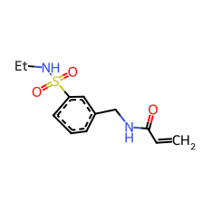 C=CC(=O)NCc1cccc(S(=O)(=O)NCC)c1